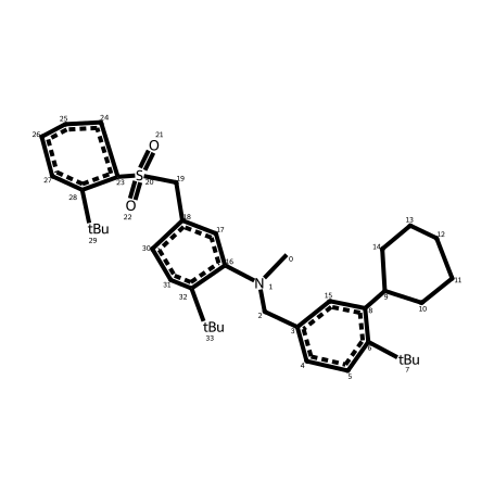 CN(Cc1ccc(C(C)(C)C)c(C2CCCCC2)c1)c1cc(CS(=O)(=O)c2ccccc2C(C)(C)C)ccc1C(C)(C)C